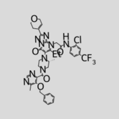 CCc1c(N2CCN(C(=O)c3ncnc(C)c3OCc3ccccc3)C[C@H]2C)c(=O)n2nc(C3=CCOCC3)nc2n1CC(=O)Nc1ccc(C(F)(F)F)cc1Cl